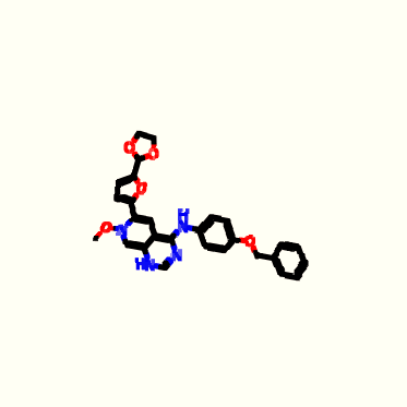 CON1C=C2NC=NC(Nc3ccc(OCc4ccccc4)cc3)=C2C=C1c1ccc(C2OCCO2)o1